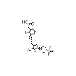 Cc1sc(N2CCC(C(F)(F)F)CC2)nc1CCOc1cccc(CC(=O)O)c1F